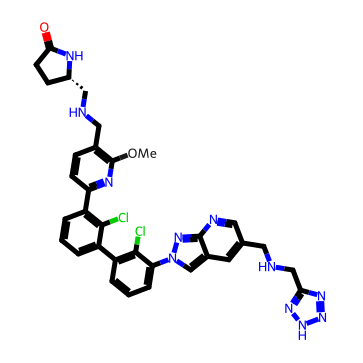 COc1nc(-c2cccc(-c3cccc(-n4cc5cc(CNCc6nn[nH]n6)cnc5n4)c3Cl)c2Cl)ccc1CNC[C@@H]1CCC(=O)N1